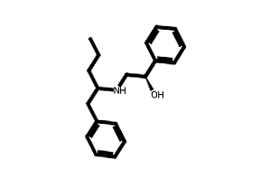 CCCC(Cc1ccccc1)NC[C@H](O)c1ccccc1